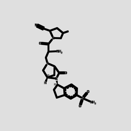 CC1CC(C#N)N(C(=O)C(N)CN2C[C@@H]3CC2C(=O)N3[C@H]2CCc3cc(S(N)(=O)=O)ccc32)C1